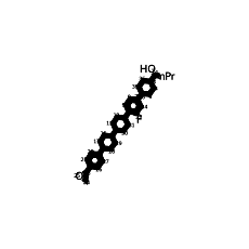 CCCC(O)C1CCC(c2ccc(C3CCC(C4CCC(c5ccc(C6CO6)cc5)CC4)CC3)c(F)c2)CC1